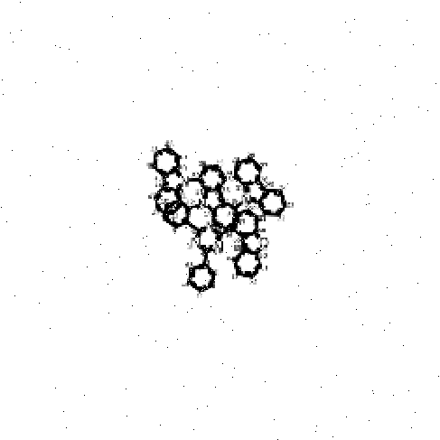 c1ccc(-c2nc(-c3ccccc3-n3c4cccc(-n5c6ccccc6c6ccccc65)c4c4cccc(-n5c6ccccc6c6ccccc65)c43)nc(-c3cccc4oc5ccccc5c34)n2)cc1